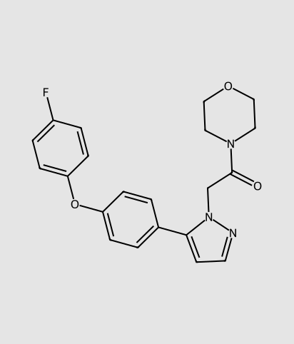 O=C(Cn1nccc1-c1ccc(Oc2ccc(F)cc2)cc1)N1CCOCC1